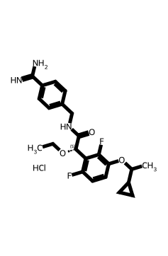 CCO[C@H](C(=O)NCc1ccc(C(=N)N)cc1)c1c(F)ccc(OC(C)C2CC2)c1F.Cl